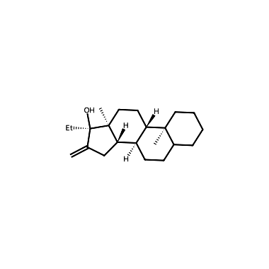 C=C1C[C@H]2[C@@H]3CCC4CCCC[C@]4(C)[C@H]3CC[C@]2(C)[C@@]1(O)CC